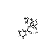 CN1[C@H]2CC[C@@H]1[C@@H](C(=O)O)[C@@H](OC(=O)c1ccccc1)C2.Cl